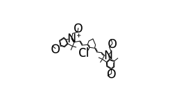 COCCN1/C(=C/C=C2\CCCC(/C=C/C3=[N+](CCOC)c4ccc(OC)cc4C3(C)C)=C2Cl)C(C)(C)c2cc(OC)cc(C)c21